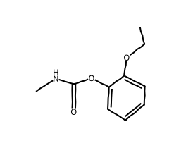 CCOc1ccccc1OC(=O)NC